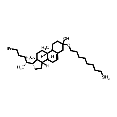 CC(C)CCC[C@@H](C)[C@H]1CC[C@H]2[C@@H]3CC=C4CC(O)(OCCCCCCCC[SiH3])CC[C@]4(C)[C@H]3CC[C@]12C